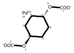 O=C([O-])O[C@H]1CC[C@H](OC(=O)[O-])CC1.[Pd+2]